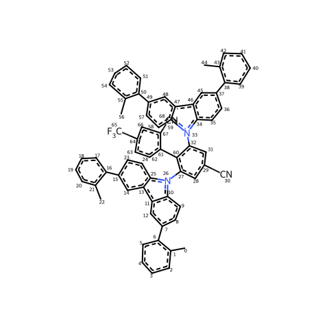 Cc1ccccc1-c1ccc2c(c1)c1cc(-c3ccccc3C)ccc1n2-c1cc(C#N)cc(-n2c3ccc(-c4ccccc4C)cc3c3cc(-c4ccccc4C)ccc32)c1-c1ccc(C(F)(F)F)cc1C#N